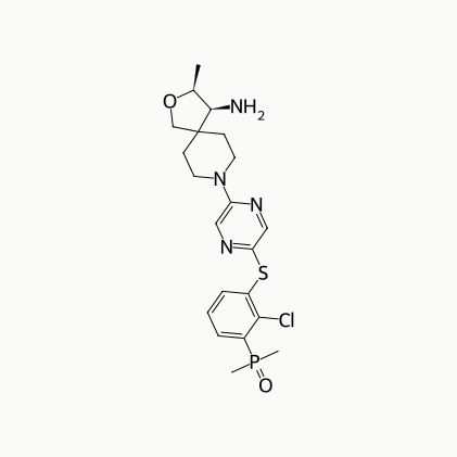 C[C@@H]1OCC2(CCN(c3cnc(Sc4cccc(P(C)(C)=O)c4Cl)cn3)CC2)[C@@H]1N